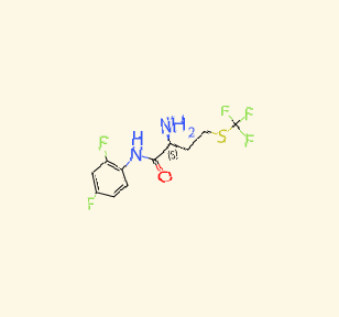 N[C@@H](CCSC(F)(F)F)C(=O)Nc1ccc(F)cc1F